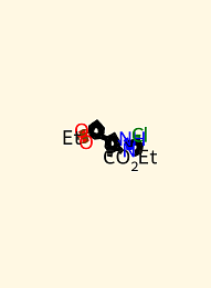 CCOC(=O)c1cc(-c2cccc(S(=O)(=O)CC)c2)cc(Nc2ncccc2Cl)c1C